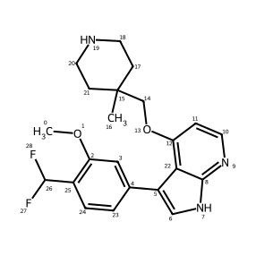 COc1cc(-c2c[nH]c3nccc(OCC4(C)CCNCC4)c23)ccc1C(F)F